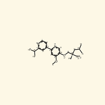 COc1cc(-c2ccnc(C(F)F)c2)ncc1OC[C@@](C)(N)CC(C)C